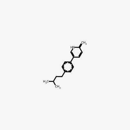 C=C1C=CC(c2ccc(CCC(C)C)cc2)=CN1